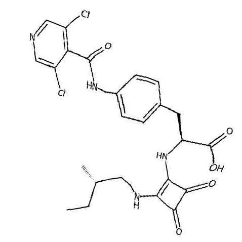 CC[C@H](C)CNc1c(N[C@@H](Cc2ccc(NC(=O)c3c(Cl)cncc3Cl)cc2)C(=O)O)c(=O)c1=O